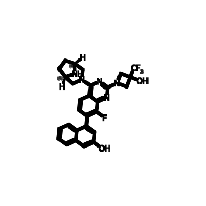 Oc1cc(-c2ccc3c(N4C[C@H]5CC[C@@H](C4)N5)nc(N4CC(O)(C(F)(F)F)C4)nc3c2F)c2ccccc2c1